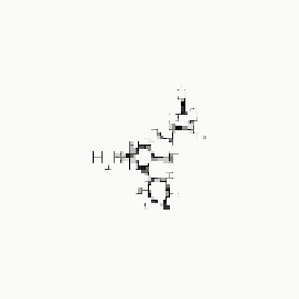 Cc1oc(=O)oc1COc1nc(N)nc(-c2ccccc2)c1Br